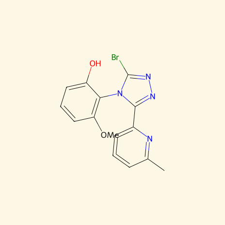 COc1cccc(O)c1-n1c(Br)nnc1C1=C=C=CC(C)=N1